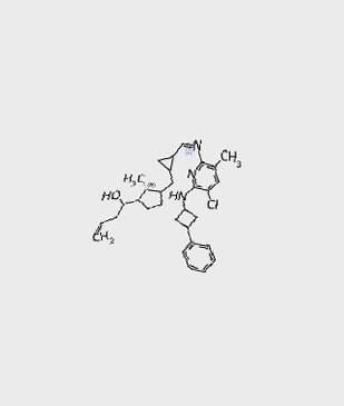 C=CCC(O)C1CCC(CC2CC2/C=N\c2nc(NC3CC(c4ccccc4)C3)c(Cl)cc2C)[C@H]1C